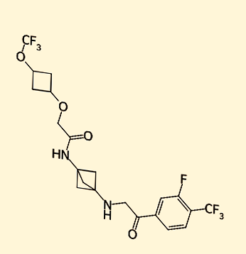 O=C(COC1CC(OC(F)(F)F)C1)NC12CC(NCC(=O)c3ccc(C(F)(F)F)c(F)c3)(C1)C2